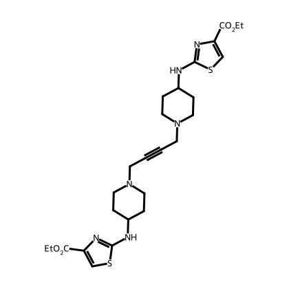 CCOC(=O)c1csc(NC2CCN(CC#CCN3CCC(Nc4nc(C(=O)OCC)cs4)CC3)CC2)n1